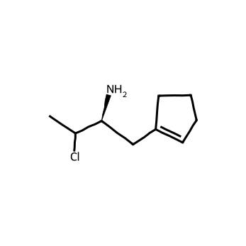 CC(Cl)[C@@H](N)CC1=CCCC1